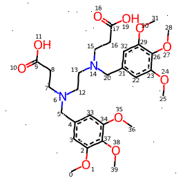 COc1cc(CN(CCC(=O)O)CCN(CCC(=O)O)Cc2cc(OC)c(OC)c(OC)c2)cc(OC)c1OC